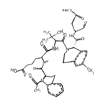 CC(=O)N1c2ccccc2CC1C(=O)NC(CCCC(=O)O)C(=O)NC(C(=O)N1CCc2cc(C)ccc2[C@H]1C(=O)NC(C=O)CC(=O)O)C(C)(C)C